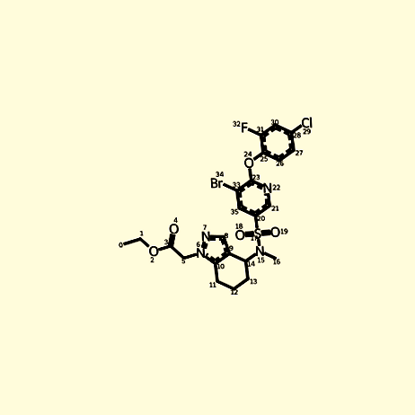 CCOC(=O)Cn1ncc2c1CCCC2N(C)S(=O)(=O)c1cnc(Oc2ccc(Cl)cc2F)c(Br)c1